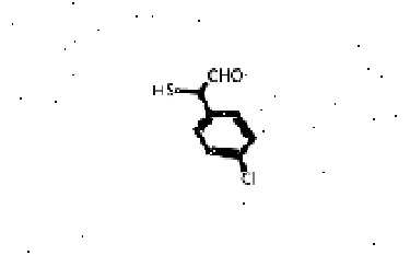 O=[C]C(S)c1ccc(Cl)cc1